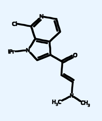 CC(C)n1cc(C(=O)C=CN(C)C)c2ccnc(Cl)c21